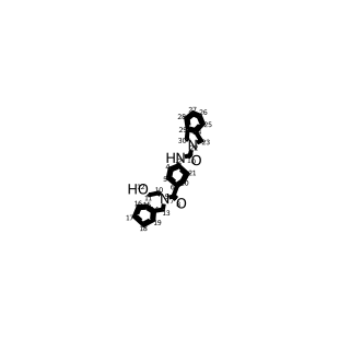 O=C(Nc1ccc(C(=O)N(CCO)Cc2ccccc2)cc1)N1Cc2ccccc2C1